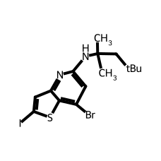 CC(C)(C)CC(C)(C)Nc1cc(Br)c2sc(I)cc2n1